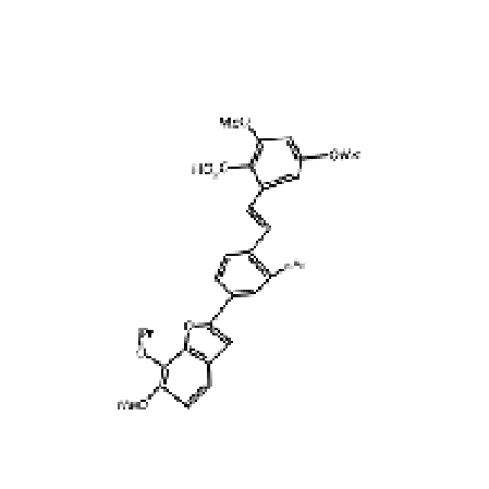 CCCc1cc(-c2cc3ccc(OC)c(OC(C)C)c3o2)ccc1/C=C/c1cc(OC)cc(OC)c1C(=O)O